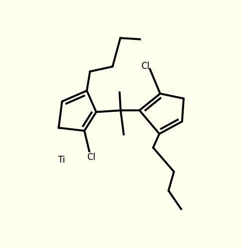 CCCCC1=CCC(Cl)=C1C(C)(C)C1=C(Cl)CC=C1CCCC.[Ti]